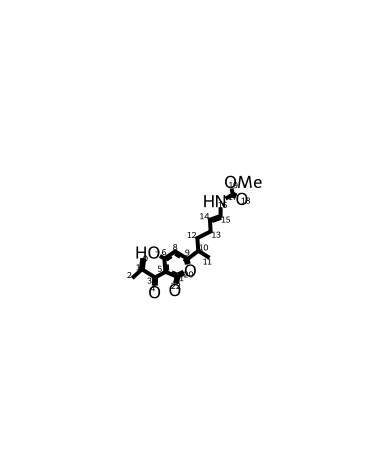 C=C(C)C(=O)c1c(O)cc(C(C)CC/C=C/NC(=O)OC)oc1=O